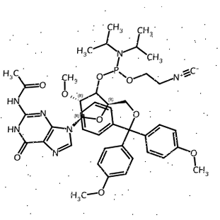 [C-]#[N+]CCOP(OC1[C@@H](OC)[C@H](n2cnc3c(=O)[nH]c(NC(C)=O)nc32)O[C@@H]1COC(c1ccccc1)(c1ccc(OC)cc1)c1ccc(OC)cc1)N(C(C)C)C(C)C